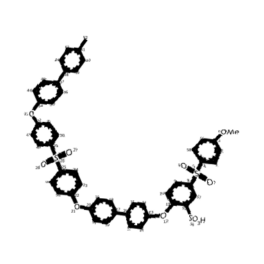 COc1ccc(S(=O)(=O)c2ccc(Oc3ccc(-c4ccc(Oc5ccc(S(=O)(=O)c6ccc(Oc7ccc(-c8ccc(C)cc8)cc7)cc6)cc5)cc4)cc3)c(S(=O)(=O)O)c2)cc1